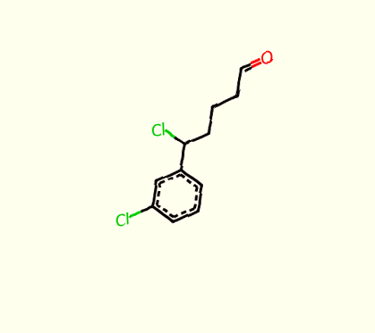 O=CCCCC(Cl)c1cccc(Cl)c1